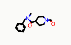 CN(Cc1ccccc1)C(=O)C1CCN(C=O)CC1